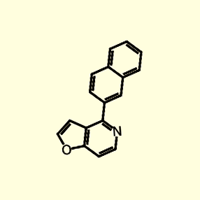 c1ccc2cc(-c3nccc4occc34)ccc2c1